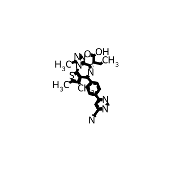 CCC(C(=O)O)[C@@H]1N=C(c2ccc(-c3cc(C#N)ncn3)cc2)c2c(sc(C)c2C)-n2c(C)nnc21